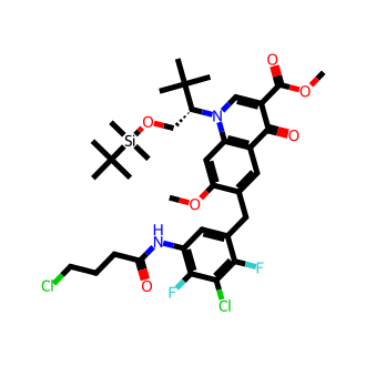 COC(=O)c1cn([C@H](CO[Si](C)(C)C(C)(C)C)C(C)(C)C)c2cc(OC)c(Cc3cc(NC(=O)CCCCl)c(F)c(Cl)c3F)cc2c1=O